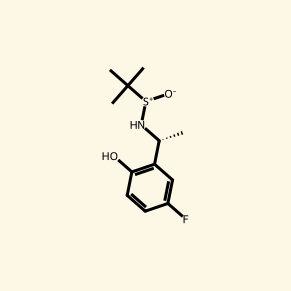 C[C@@H](N[S+]([O-])C(C)(C)C)c1cc(F)ccc1O